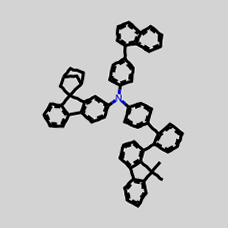 CC1(C)c2ccccc2-c2cccc(-c3ccccc3-c3ccc(N(c4ccc(-c5cccc6ccccc56)cc4)c4ccc5c(c4)C4(CC6CCC4C6)c4ccccc4-5)cc3)c21